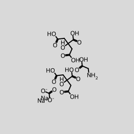 NCC(=O)O.O=C(O)CC(O)(CC(=O)O)C(=O)O.O=C(O)CC(O)(CC(=O)O)C(=O)O.O=C([O-])[O-].[Na+].[Na+]